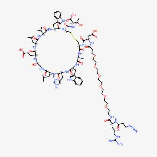 CC(C)C[C@@H]1NC(=O)[C@H](Cc2c[nH]cn2)NC(=O)[C@H](Cc2c[nH]c3ccccc23)NC(=O)[C@H](C)NC(=O)[C@@H](NC(=O)[C@H](CC(=O)O)NC(=O)CCOCCOCCOCCOCCOCCOCCNC(=O)[C@@H](CCCNC(=N)N)NC(=O)CCN=[N+]=[N-])CSSC[C@@H](C(=O)N[C@H](C(=O)O)[C@@H](C)O)NC(=O)[C@H](Cc2c[nH]c3ccccc23)NC(=O)[C@H](C(C)C)NC(=O)[C@H](CC(C)C)NC(=O)[C@H](CCC(=O)O)NC(O)CNC1=O